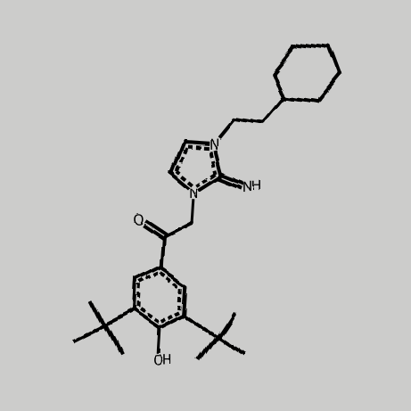 CC(C)(C)c1cc(C(=O)Cn2ccn(CCC3CCCCC3)c2=N)cc(C(C)(C)C)c1O